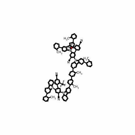 Cc1ccccc1-c1ccc2c(c1)c1cc(-c3ccc(-c4ccc(-c5ccc6c7ccccc7n(-c7cc(-c8ccc(C#N)cc8C(F)(F)F)c(-n8c9ccccc9c9ccc(-c%10ccccc%10C)cc98)cc7C#N)c6c5)c(C)c4)cc3C)ccc1n2-c1cc(-c2ccc(C#N)cc2C(F)(F)F)c(-n2c3ccc(-c4ccccc4C)cc3c3cc(-c4ccccc4C)ccc32)cc1C#N